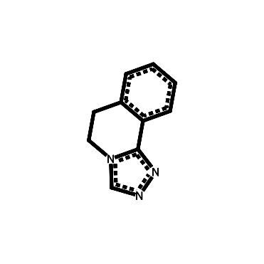 c1ccc2c(c1)CCn1cnnc1-2